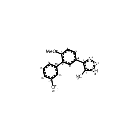 COc1ccc(-c2nn[nH]c2C#N)cc1-c1cccc(C(F)(F)F)c1